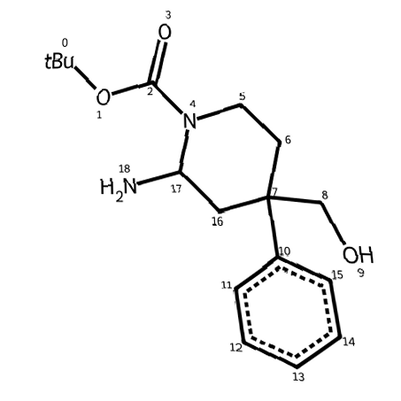 CC(C)(C)OC(=O)N1CCC(CO)(c2ccccc2)CC1N